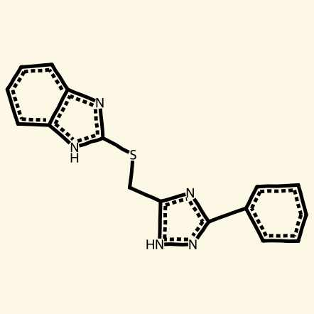 c1ccc(-c2n[nH]c(CSc3nc4ccccc4[nH]3)n2)cc1